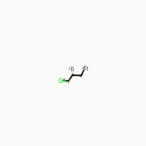 CCCCCCl.[Ti]